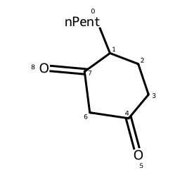 CCCCCC1CCC(=O)CC1=O